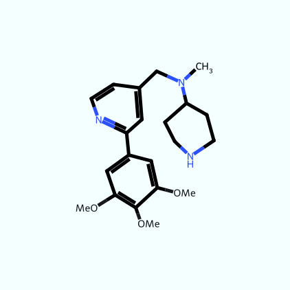 COc1cc(-c2cc(CN(C)C3CCNCC3)ccn2)cc(OC)c1OC